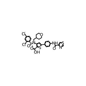 CP(=O)(c1ccc(Cl)cc1Cl)N(CC1CCOCC1)c1cc(-c2ccc(NC(=O)c3cscn3)cc2)sc1C(=O)O